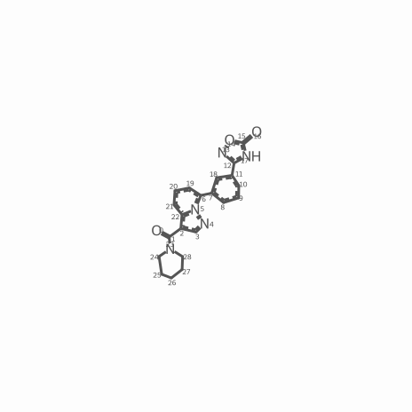 O=C(c1cnn2c(-c3cccc(-c4noc(=O)[nH]4)c3)cccc12)N1CCCCC1